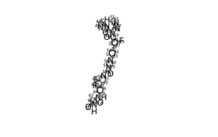 O=C1NC(=O)C2(Nc3ccc(C4CCN(CC(=O)N5CCN(c6ccc(-c7cc(F)c8c(c7)C(=O)N(C(C(=O)Nc7nccs7)c7ncn9c7CCC9)C8)cc6)CC5)CC4(F)F)c(F)c3)CC1C2